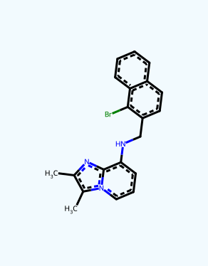 Cc1nc2c(NCc3ccc4ccccc4c3Br)cccn2c1C